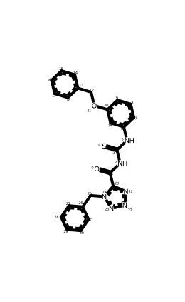 O=C(NC(=S)Nc1cccc(OCc2ccccc2)c1)c1nnnn1Cc1ccccc1